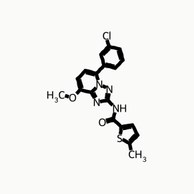 COc1ccc(-c2cccc(Cl)c2)n2nc(NC(=O)c3ccc(C)s3)nc12